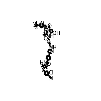 Cc1ncsc1-c1ccc(CNC(=O)[C@@H]2C[C@@H](O)CN2C(=O)C(NC(=O)COCCNc2ccc(-c3ccc(C(=O)N[C@H]4C(C)(C)[C@H](Oc5ccc(C#N)c(Cl)c5)C4(C)C)cc3)cn2)C(C)(C)C)nc1